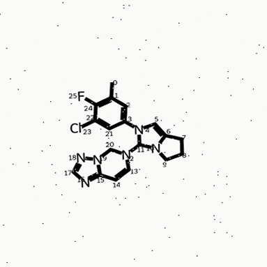 Cc1cc(N2C=C3CCCN3C2N2C=Cc3ncnn3C2)cc(Cl)c1F